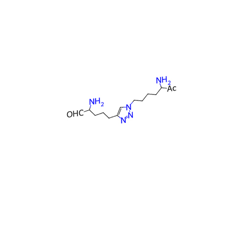 CC(=O)C(N)CCCCn1cc(CCCC(N)C=O)nn1